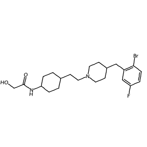 O=C(CO)NC1CCC(CCN2CCC(Cc3cc(F)ccc3Br)CC2)CC1